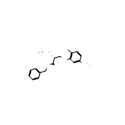 CN[C@H](COc1cc(C#N)ccc1I)C(=O)OCc1ccccc1.Cl